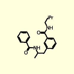 CC(C)CNC(=O)c1cccc(CC(C)NC(=O)c2ccccc2)c1